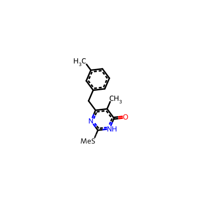 CSc1nc(Cc2cccc(C)c2)c(C)c(=O)[nH]1